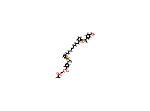 C=C(C)C(=O)OCCOC(=O)c1ccc(CSC2(OCC)SC3(CCCCCCCCCCC45C=CC(C4)C(OCC)(SCc4ccc(C=O)cc4)S5)C=CC32)cc1